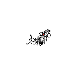 C#CCCC(NC(=O)[C@@H]1[C@@H]2[C@H](CN1C(=O)[C@@H](NC(=O)NC1(CS(=O)(=O)C(C)(C)C)CCCCC1)C1(C)CCCCC1)C2(C)C)C(=O)C(=O)NCC=C